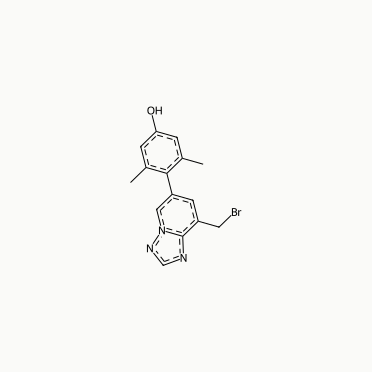 Cc1cc(O)cc(C)c1-c1cc(CBr)c2ncnn2c1